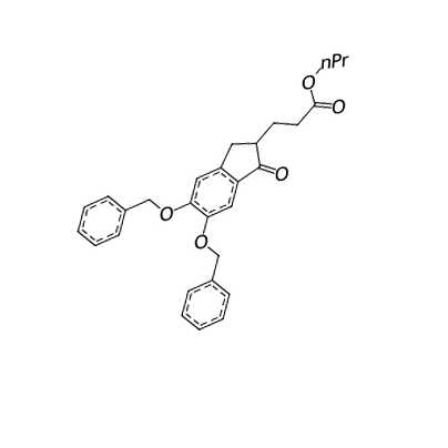 CCCOC(=O)CCC1Cc2cc(OCc3ccccc3)c(OCc3ccccc3)cc2C1=O